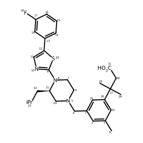 Cc1cc(CN2CCN(c3ncc(-c4cccc(F)c4)s3)[C@H](CC(C)C)C2)cc(C(C)(C)CC(=O)O)c1